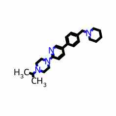 CC(C)N1CCN(c2ccc(-c3ccc(CN4CCCCC4)cc3)cn2)CC1